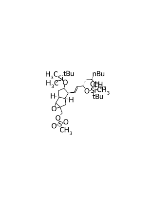 CCCC[C@H](C)C[C@@H](/C=C/[C@H]1[C@H]2CC3(COS(C)(=O)=O)OC3[C@H]2C[C@H]1O[Si](C)(C)C(C)(C)C)O[Si](C)(C)C(C)(C)C